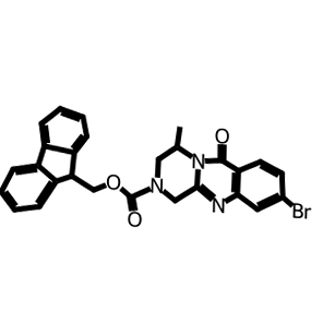 CC1CN(C(=O)OCC2c3ccccc3-c3ccccc32)Cc2nc3cc(Br)ccc3c(=O)n21